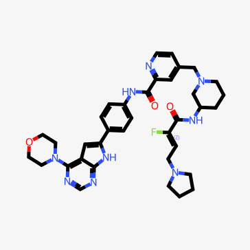 O=C(NC1CCCN(Cc2ccnc(C(=O)Nc3ccc(-c4cc5c(N6CCOCC6)ncnc5[nH]4)cc3)c2)C1)/C(F)=C/CN1CCCC1